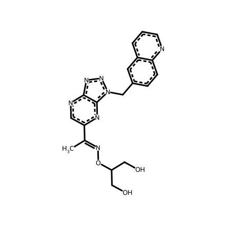 CC(=NOC(CO)CO)c1cnc2nnn(Cc3ccc4ncccc4c3)c2n1